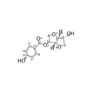 O=C(O[C@H]1CO[C@H]2[C@@H]1OC[C@H]2O)c1ccc(O)cc1